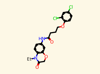 CCN1C(=O)COc2cc(NC(=O)CCCOc3ccc(Cl)cc3Cl)ccc21